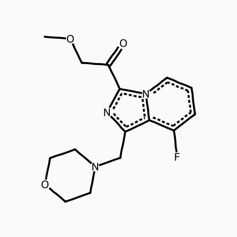 COCC(=O)c1nc(CN2CCOCC2)c2c(F)cccn12